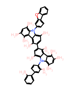 Bc1ccccc1-c1ccc(-n2c3c(B)cc(B)c(B)c3c3c(B)c(-c4cc(B)c5c(c4B)c4c(B)c(B)cc(B)c4n5-c4ccc5c(c4)oc4ccccc45)cc(B)c32)c(B)c1